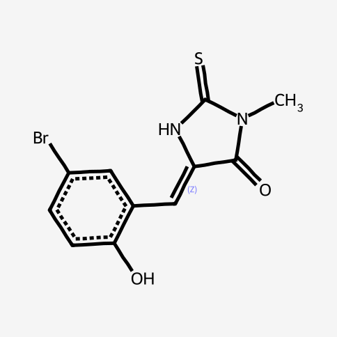 CN1C(=O)/C(=C/c2cc(Br)ccc2O)NC1=S